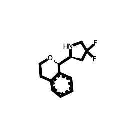 FC1(F)CN[C@H]([C@H]2OCCc3ccccc32)C1